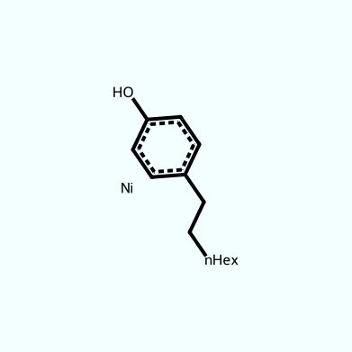 CCCCCCCCc1ccc(O)cc1.[Ni]